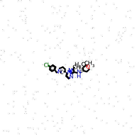 Cc1nn2c([C@@H]3CCCN(Cc4ccc(Cl)cc4)C3)ccnc2c1CNC[C@H]1CCOC(C)(C)C1